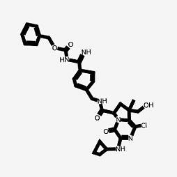 CC1(CO)CC(C(=O)NCc2ccc(C(=N)NC(=O)OCc3ccccc3)cc2)n2c1c(Cl)nc(NC1CCC1)c2=O